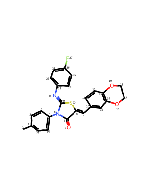 Cc1ccc(N2C(=O)/C(=C/c3ccc4c(c3)OCCO4)S/C2=N\c2ccc(F)cc2)cc1